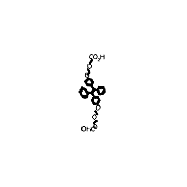 O=COCCOCCOc1ccc(/C(=C(\c2ccccc2)c2ccc(OCCOCCC(=O)O)cc2)c2ccccc2)cc1